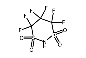 O=S1(=O)NS(=O)(=O)C(F)(F)C(F)(F)C1(F)F